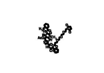 CC[C@H](C)[C@H](NC(=O)C1CCCCN1C)C(=O)N(C)[C@H](C[C@@H](OC(C)=O)c1nc(C(=O)NC(C)C(OC(=O)CCOCCOCCOCCN2C(=O)C=CC2=O)c2ccccc2)cs1)C(C)C